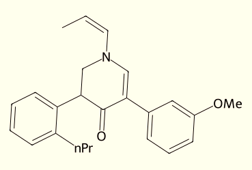 C/C=C\N1C=C(c2cccc(OC)c2)C(=O)C(c2ccccc2CCC)C1